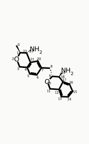 C[C@@H]1OCc2ccc(C[C@H]3OCc4ccccc4[C@@H]3N)cc2[C@H]1N